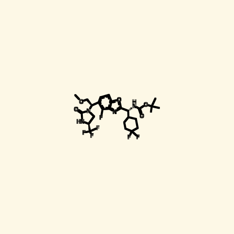 COC[C@@H](c1ccc2oc([C@H](NC(=O)OC(C)(C)C)C3CCC(F)(F)CC3)nc2c1F)N1C[C@@H](C(F)(F)F)NC1=O